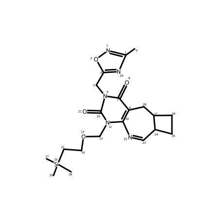 Cc1noc(Cn2c(=O)c3c(n(COCC[Si](C)(C)C)c2=O)N=CC2CCC2C3)n1